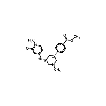 COC(=O)c1ccc([C@H]2C[C@@H](Nc3ccn(C)c(=O)c3)CN(C)C2)cc1